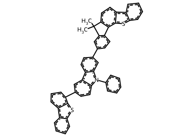 CC1(C)c2cc(-c3ccc4c5cc(-c6cccc7c6sc6ccccc67)ccc5n(-c5ccccc5)c4c3)ccc2-c2c1ccc1c2sc2ccccc21